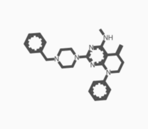 C=C1CCN(c2ccccc2)c2nc(N3CCN(Cc4ccccc4)CC3)nc(NC)c21